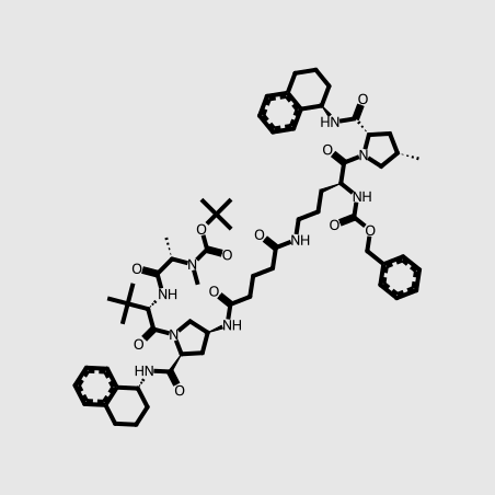 C[C@H]1C[C@@H](C(=O)N[C@@H]2CCCc3ccccc32)N(C(=O)[C@H](CCCNC(=O)CCCC(=O)N[C@H]2C[C@@H](C(=O)N[C@@H]3CCCc4ccccc43)N(C(=O)[C@@H](NC(=O)[C@H](C)N(C)C(=O)OC(C)(C)C)C(C)(C)C)C2)NC(=O)OCc2ccccc2)C1